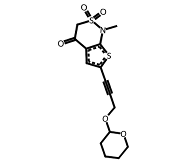 CN1c2sc(C#CCOC3CCCCO3)cc2C(=O)CS1(=O)=O